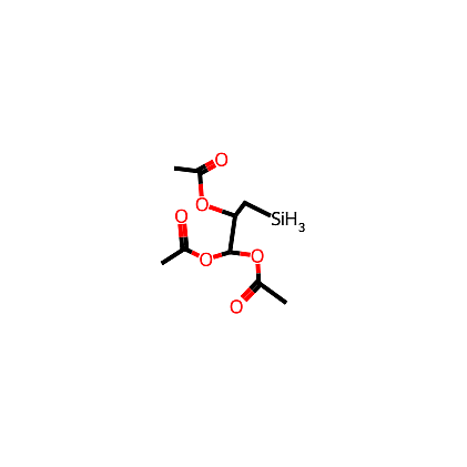 CC(=O)OC(C[SiH3])C(OC(C)=O)OC(C)=O